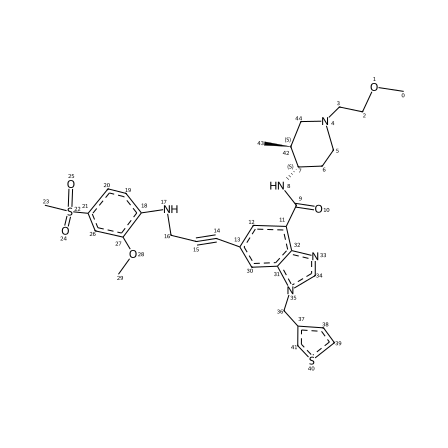 COCCN1CC[C@H](NC(=O)c2cc(C#CCNc3ccc(S(C)(=O)=O)cc3OC)cc3c2ncn3Cc2ccsc2)[C@@H](C)C1